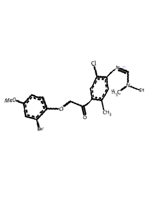 CCN(C)/C=N\c1cc(C)c(C(=O)COc2ccc(OC)cc2Br)cc1Cl